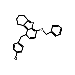 Clc1ccc(CC2C=CC(OCc3ccccc3)=C3N=C4CCCCC4=C32)cc1